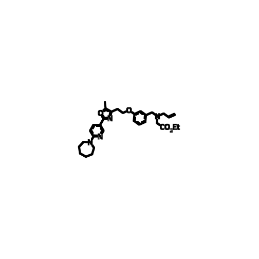 C=CCN(CC(=O)OCC)Cc1cccc(OCCc2nc(-c3ccc(N4CCCCCC4)nc3)oc2C)c1